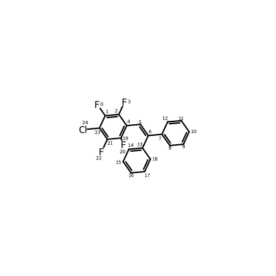 Fc1c(F)c(C=C(c2ccccc2)c2ccccc2)c(F)c(F)c1Cl